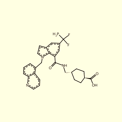 O=C(NC[C@H]1CC[C@H](C(=O)O)CC1)c1cc(C(F)(F)P)cc2ccn(Cc3cccc4ncccc34)c12